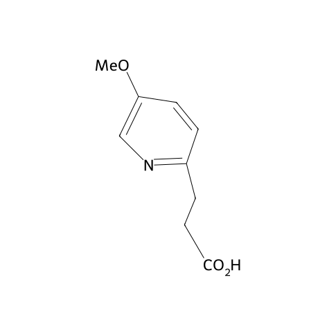 COc1ccc(CCC(=O)O)nc1